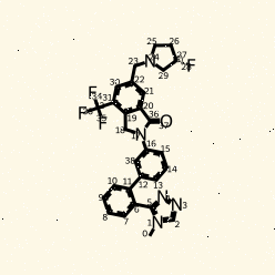 Cn1cnnc1-c1ccccc1-c1cccc(N2Cc3c(cc(CN4CC[C@H](F)C4)cc3C(F)(F)F)C2=O)c1